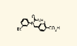 CCc1cccc(N(Cc2ccc(C(=O)O)cc2)C(N)=O)c1